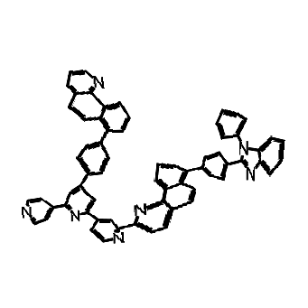 c1ccc(-n2c(-c3ccc(-c4cccc5c4ccc4ccc(-c6cc(-c7cc(-c8ccc(-c9cccc%10c9ccc9cccnc9%10)cc8)cc(-c8ccncc8)n7)ccn6)nc45)cc3)nc3ccccc32)cc1